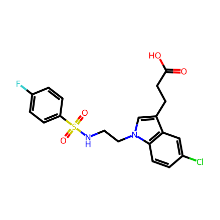 O=C(O)CCc1cn(CCNS(=O)(=O)c2ccc(F)cc2)c2ccc(Cl)cc12